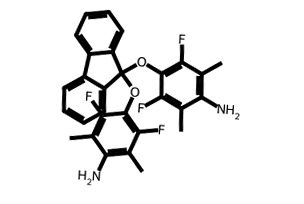 Cc1c(N)c(C)c(F)c(OC2(Oc3c(F)c(C)c(N)c(C)c3F)c3ccccc3-c3ccccc32)c1F